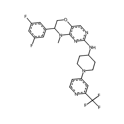 CN1c2nc(NC3CCN(c4ccnc(C(F)(F)F)c4)CC3)ncc2OCC1c1cc(F)cc(F)c1